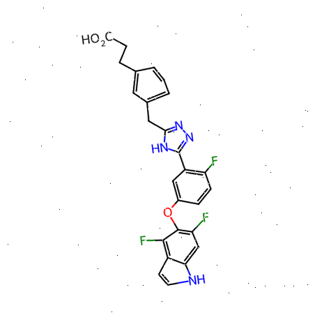 O=C(O)CCc1cccc(Cc2nnc(-c3cc(Oc4c(F)cc5[nH]ccc5c4F)ccc3F)[nH]2)c1